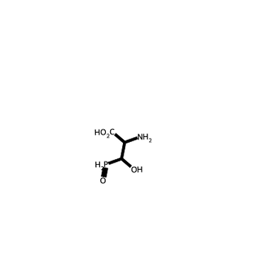 NC(C(=O)O)C(O)[PH2]=O